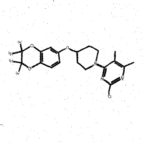 [2H]C1([2H])Oc2ccc(OC3CCN(c4nc(Cl)nc(C)c4C)CC3)cc2OC1([2H])[2H]